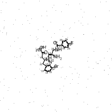 N/C(=C\N(N)C(CC(=O)NO)Cc1cccc(Br)c1)CNC(=O)c1ccc(F)cc1